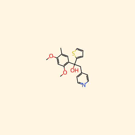 COc1cc(OC)c(C(O)(Cc2ccncc2)c2cccs2)cc1C